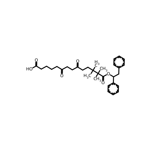 CC(C)(CCC(=O)CCC(=O)CCCCC(=O)O)C(C)(C)C(=O)OC(Cc1ccccc1)c1ccccc1